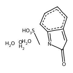 CS(=O)(=O)O.O.O.O.O=C1C=c2ccccc2=N1